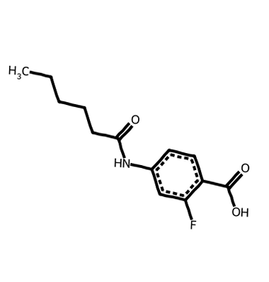 CCCCCC(=O)Nc1ccc(C(=O)O)c(F)c1